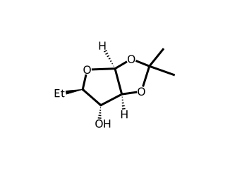 CC[C@H]1O[C@H]2OC(C)(C)O[C@H]2[C@@H]1O